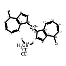 CC1C=CC=CC2=C1C=C[CH]2[Zr+2][CH]1C=CC2=C1C=CC=CC2C.[CH3][GeH2][CH3].[Cl-].[Cl-]